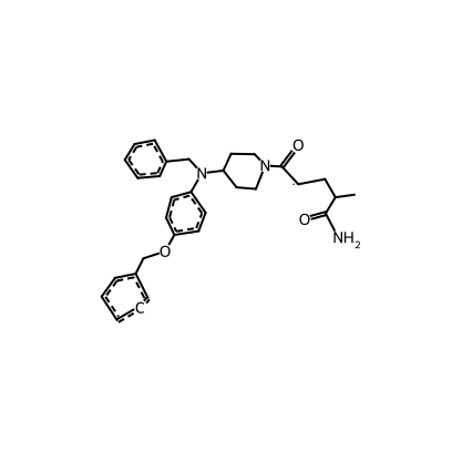 CC(C[CH]C(=O)N1CCC(N(Cc2ccccc2)c2ccc(OCc3ccccc3)cc2)CC1)C(N)=O